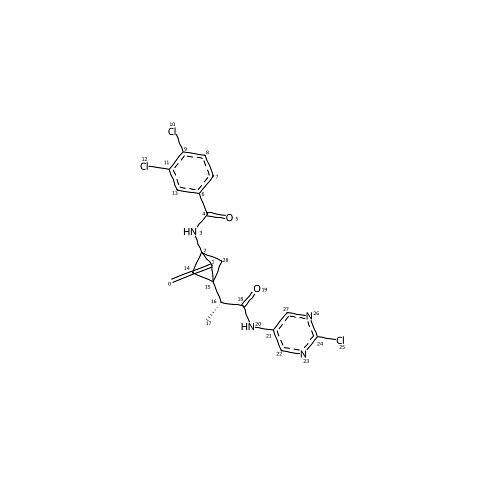 C=C1C2(NC(=O)c3ccc(Cl)c(Cl)c3)CC1([C@@H](C)C(=O)Nc1cnc(Cl)nc1)C2